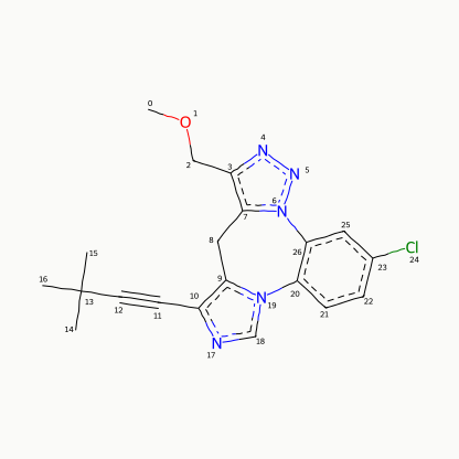 COCc1nnn2c1Cc1c(C#CC(C)(C)C)ncn1-c1ccc(Cl)cc1-2